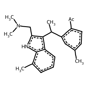 CC(=O)c1ccc(C)cc1C(C)c1c(CN(C)C)[nH]c2c(C)cccc12